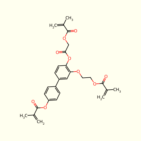 C=C(C)C(=O)OCCOc1cc(-c2ccc(OC(=O)C(=C)C)cc2)ccc1OC(=O)COC(=O)C(=C)C